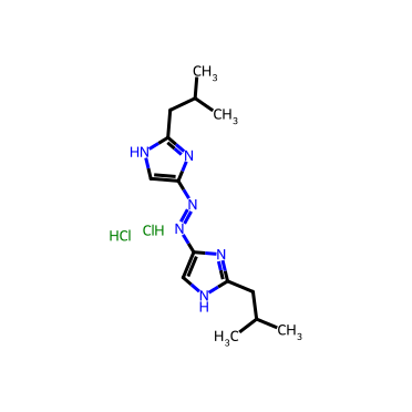 CC(C)Cc1nc(N=Nc2c[nH]c(CC(C)C)n2)c[nH]1.Cl.Cl